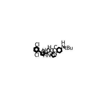 CC(C)(C)N[C@@H]1CC[C@H](N2CCC(NC(=O)c3ccc(-c4cc(Cl)ccc4Cl)o3)C2=O)[C@](C)(C(=O)O)C1